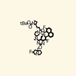 CN(c1nc(OC[C@@]23CCCN2C[C@H](F)C3)nc2c(F)c(-c3cccc4ccc(F)c(Cl)c34)ncc12)[C@@H]1CCN(C(=O)/C=C/C2CCN2C(=O)OC(C)(C)C)C1